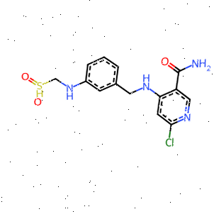 NC(=O)c1cnc(Cl)cc1NCc1cccc(NC[SH](=O)=O)c1